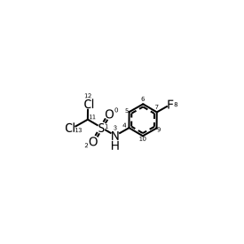 O=S(=O)(Nc1ccc(F)cc1)C(Cl)Cl